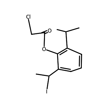 CC(C)c1cccc(C(C)I)c1OC(=O)CCl